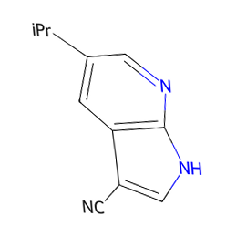 CC(C)c1cnc2[nH]cc(C#N)c2c1